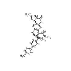 Cc1cc2c(F)c(Oc3ncnc(Nc4ccc(N5CCN(C)CC5)cc4)c3C(=O)N(C)C)cc(F)c2[nH]1